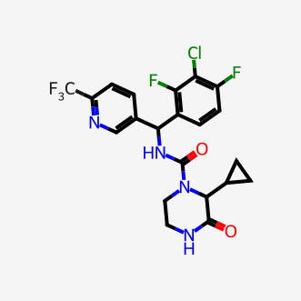 O=C1NCCN(C(=O)NC(c2ccc(C(F)(F)F)nc2)c2ccc(F)c(Cl)c2F)C1C1CC1